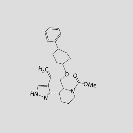 C=Cc1c[nH]nc1C1CCCN(C(=O)OC)C1COC1CCC(c2ccccc2)CC1